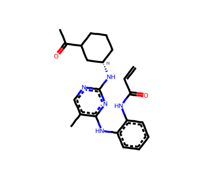 C=CC(=O)Nc1ccccc1Nc1nc(N[C@H]2CCCC(C(C)=O)C2)ncc1C